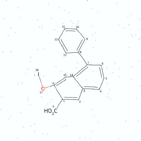 O=C(O)c1cc2cccc(-c3ccccc3)c2cc1OI